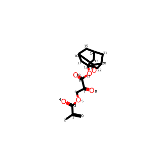 C=C(C)C(=O)OCC(=O)C(=O)OC12CC3CC(C1)C(=O)C(C3)C2